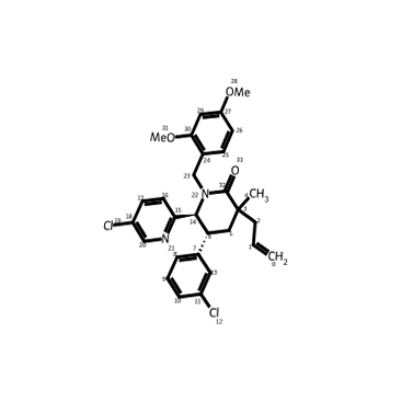 C=CCC1(C)C[C@H](c2cccc(Cl)c2)[C@@H](c2ccc(Cl)cn2)N(Cc2ccc(OC)cc2OC)C1=O